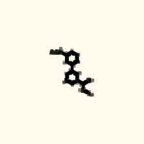 CC(=O)Nc1cccc(-c2cncc(C(=O)N=S)c2)c1